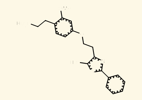 COc1cc(OCCc2nc(-c3ccccc3)oc2C)ccc1CCC(=O)O